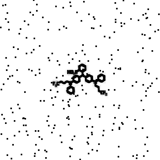 O=S(=O)(O)c1ccccc1C(c1ccc(N(CCCC(F)(F)F)c2ccccc2)cc1)c1ccc(N(CCCC(F)(F)F)c2ccccc2)cc1